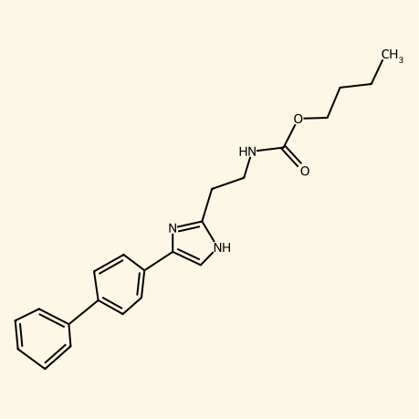 CCCCOC(=O)NCCc1nc(-c2ccc(-c3ccccc3)cc2)c[nH]1